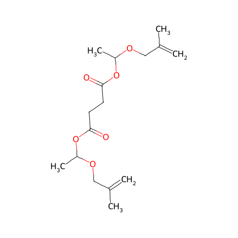 C=C(C)COC(C)OC(=O)CCC(=O)OC(C)OCC(=C)C